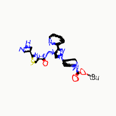 CC(C)(C)OC(=O)N1CC(n2cc(NC(=O)c3csc(-c4cn[nH]c4)n3)c(-c3ccccn3)n2)C1